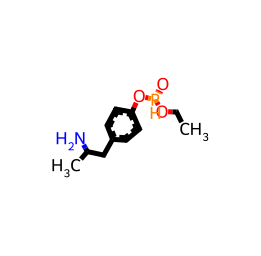 CCO[PH](=O)Oc1ccc(CC(C)N)cc1